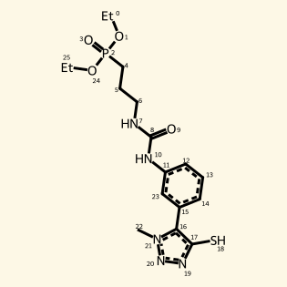 CCOP(=O)(CCCNC(=O)Nc1cccc(-c2c(S)nnn2C)c1)OCC